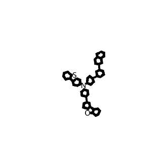 c1cc(-c2ccc(N(c3ccc(-c4ccc5oc6ccccc6c5c4)cc3)c3ccc4c(c3)sc3ccccc34)cc2)cc(-c2ccc3ccccc3c2)c1